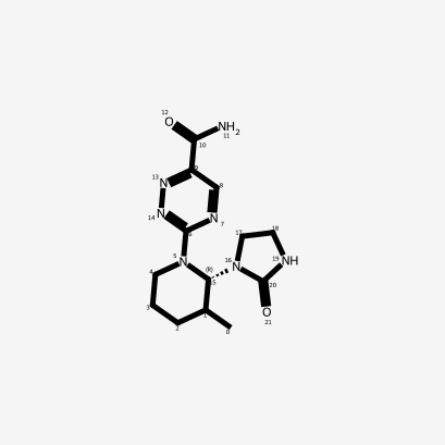 CC1CCCN(c2ncc(C(N)=O)nn2)[C@@H]1N1CCNC1=O